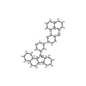 c1cc(-c2ccc3c(c2)-c2cccc4cccc(c24)O3)cc(-n2c3ccccc3c3ccc4ccccc4c32)c1